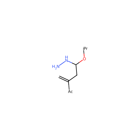 C=C(CC(NN)OC(C)C)C(C)=O